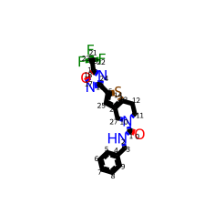 O=C(NCc1ccccc1)N1CCc2sc(-c3noc(C(F)(F)F)n3)cc2C1